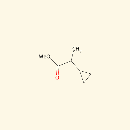 COC(=O)C(C)C1CC1